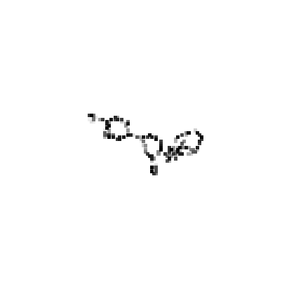 CN1C2CCC1CC(Sc1ccc(-c3ccc(Cl)nc3)cc1Cl)C2